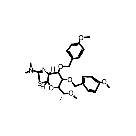 COc1ccc(COC2C(OCc3ccc(OC)cc3)[C@@H]([C@@H](C)OC)O[C@@H]3SC(N(C)C)=N[C@H]23)cc1